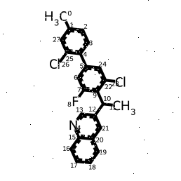 Cc1ccc(-c2cc(F)c(C(C)c3cnc4ccccc4c3)c(Cl)c2)c(Cl)c1